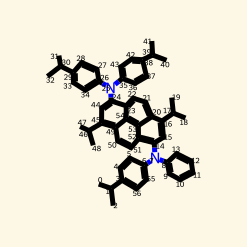 CC(C)c1ccc(N(c2ccccc2)c2cc(C(C)C)c3ccc4c(N(c5ccc(C(C)C)cc5)c5ccc(C(C)C)cc5)cc(C(C)C)c5ccc2c3c54)cc1